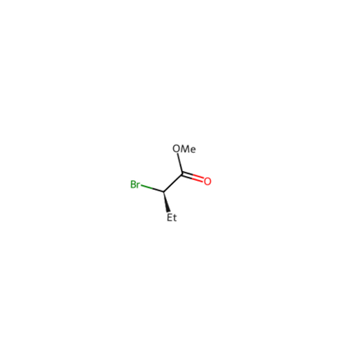 CC[C@@H](Br)C(=O)OC